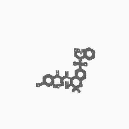 CC1(C)Oc2ccc(S(=O)(=O)N(CC(=O)O)c3ccccc3)cc2[C@@H](NC(=NC#N)Nc2ccc(Cl)cc2)[C@@H]1O